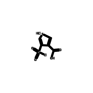 Cl.O=C(O)c1cscc1S(=O)(=O)Cl